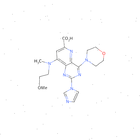 COCCN(C)c1cc(C(=O)O)nc2c(N3CCOCC3)nc(-n3ccnc3)nc12